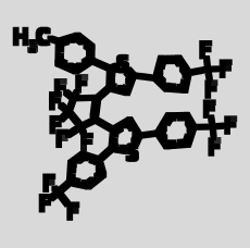 Cc1ccc(-c2sc(-c3ccc(C(F)(F)F)cc3)cc2C2=C(c3cc(-c4ccc(C(F)(F)F)cc4)sc3-c3ccc(C(F)(F)F)cc3)C(F)(F)C(F)(F)C2(F)F)cc1